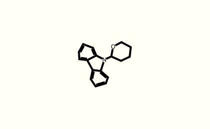 c1ccc2c(c1)c1ccccc1n2C1CCCCO1